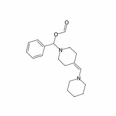 O=COC(c1ccccc1)N1CCC(=CN2CCCCC2)CC1